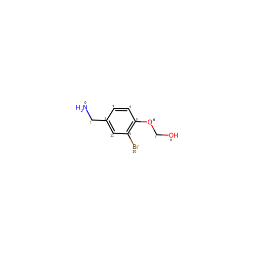 NCc1ccc(OCO)c(Br)c1